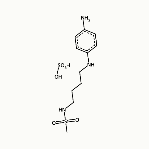 CS(=O)(=O)NCCCCNc1ccc(N)cc1.O=S(=O)(O)O